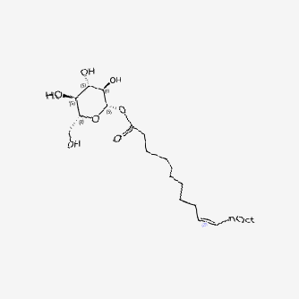 CCCCCCCC/C=C\CCCCCCCC(=O)O[C@@H]1O[C@H](CO)[C@@H](O)[C@H](O)[C@H]1O